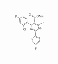 COC(=O)C1=C(C)NC(c2ccc(F)cn2)=NC1c1ccc(F)cc1Cl